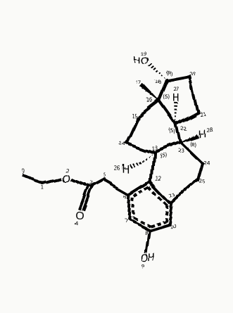 CCOC(=O)Cc1cc(O)cc2c1[C@H]1CC[C@]3(C)[C@H](O)CC[C@H]3[C@@H]1CC2